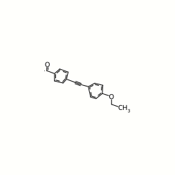 CCOc1ccc(C#Cc2ccc([C]=O)cc2)cc1